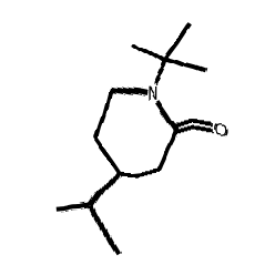 CC(C)C1CCN(C(C)(C)C)C(=O)C1